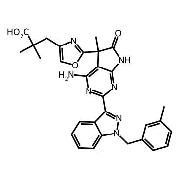 Cc1cccc(Cn2nc(-c3nc(N)c4c(n3)NC(=O)C4(C)c3nc(CC(C)(C)C(=O)O)co3)c3ccccc32)c1